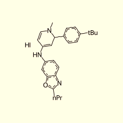 CCCc1nc2ccc(NC3=CC(c4ccc(C(C)(C)C)cc4)N(C)C=C3)cc2o1.I